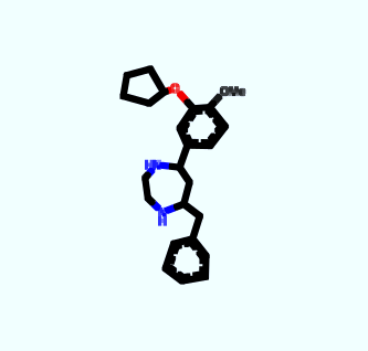 COc1ccc(C2CC(Cc3ccccc3)NCCN2)cc1OC1CCCC1